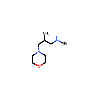 CC(CNC(C)C)CN1CCOCC1